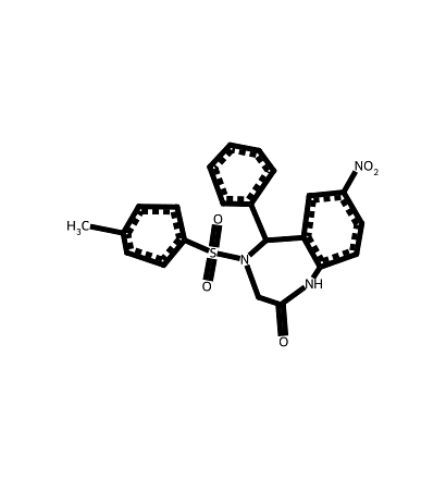 Cc1ccc(S(=O)(=O)N2CC(=O)Nc3ccc([N+](=O)[O-])cc3C2c2ccccc2)cc1